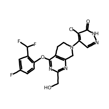 O=c1[nH]ncc(N2CCc3c(nc(CO)nc3Oc3ccc(F)cc3C(F)F)C2)c1Cl